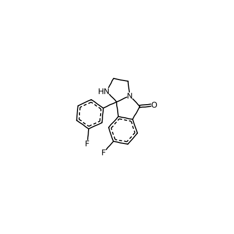 O=C1c2ccc(F)cc2C2(c3cccc(F)c3)NCCN12